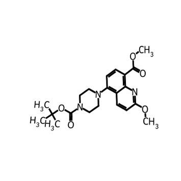 COC(=O)c1ccc(N2CCN(C(=O)OC(C)(C)C)CC2)c2ccc(OC)nc12